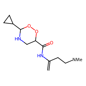 C=C(CCNC)NC(=O)C1CNC(C2CC2)OO1